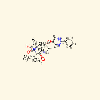 CC(C)[C@@H](C(=O)N1CCC(Oc2cnc(-c3ccccc3)nc2)CC1)N(C(=O)O)C(C)(C)C